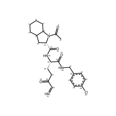 CC(=O)N1C2CCCCC2C[C@H]1C(=O)N[C@@H](CCC(=O)C=N)C(=O)NCc1ccc(Cl)cc1